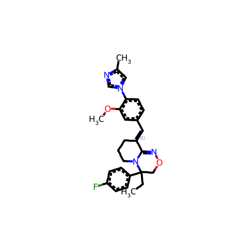 CCC1(c2ccc(F)cc2)CON=C2/C(=C/c3ccc(-n4cnc(C)c4)c(OC)c3)CCCN21